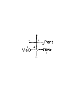 CCCC(C)C(C)(C)[Si](C)(OC)OC